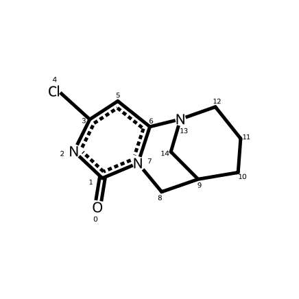 O=c1nc(Cl)cc2n1CC1CCCN2C1